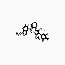 Cc1c([C@@H]2CCC[C@H](C)N2C(=O)c2ccnc3c2cnn3C)nn(C)c1-c1cc(F)c(F)c(F)c1